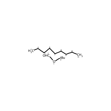 CC(C)(C)OC=O.CCCCCCCCC